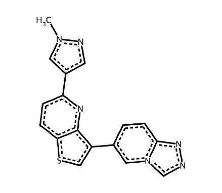 Cn1cc(-c2ccc3scc(-c4ccc5nncn5c4)c3n2)cn1